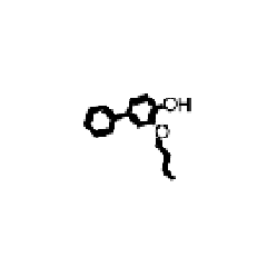 CCCCOc1cc(-c2ccccc2)ccc1O